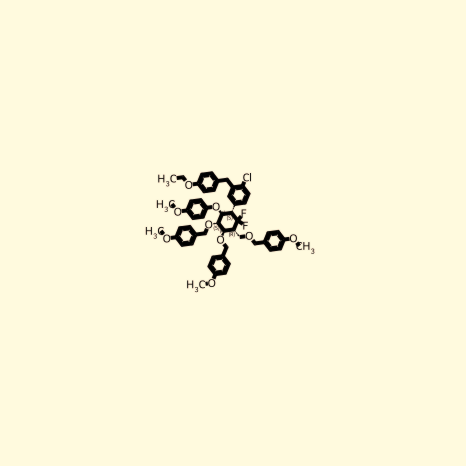 CCOc1ccc(Cc2cc([C@H]3[C@H](Oc4ccc(OC)cc4)[C@@H](OCc4ccc(OC)cc4)[C@H](OCc4ccc(OC)cc4)[C@@H](COCc4ccc(OC)cc4)C3(F)F)ccc2Cl)cc1